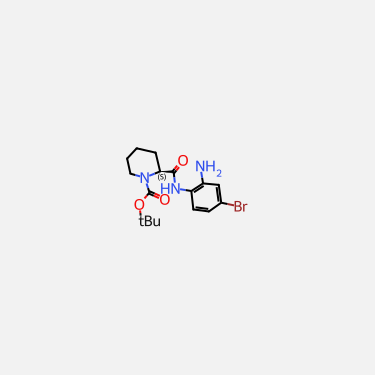 CC(C)(C)OC(=O)N1CCCC[C@H]1C(=O)Nc1ccc(Br)cc1N